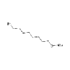 CCCCOCCCCCCCCBr